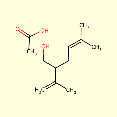 C=C(C)C(CO)CC=C(C)C.CC(=O)O